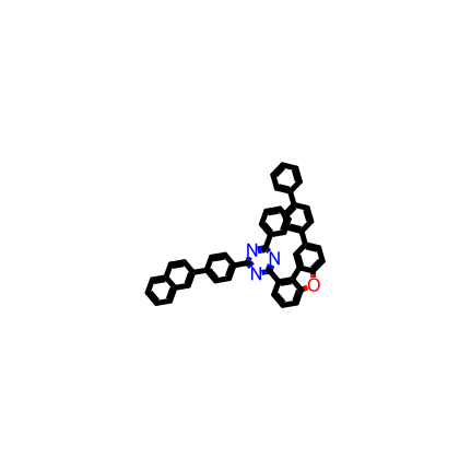 c1ccc(-c2ccc(-c3ccc4oc5cccc(-c6nc(-c7ccccc7)nc(-c7ccc(-c8ccc9ccccc9c8)cc7)n6)c5c4c3)cc2)cc1